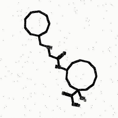 COC(=O)C1(C)CCCCCCCC(NC(=O)CNCC2CCCCCCCC2)CC1